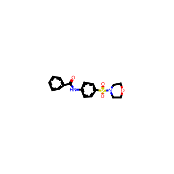 O=C(Nc1ccc(S(=O)(=O)N2CCOCC2)cc1)c1ccccc1